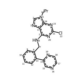 CC(C)n1cnc2c(NCc3ccccc3-c3cnccn3)nc(Cl)nc21